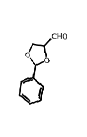 O=CC1COC(c2ccccc2)O1